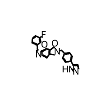 N#Cc1cccc(F)c1Oc1cccc2c1C(=O)N(Cc1ccc(-c3ccn[nH]3)cc1)C2